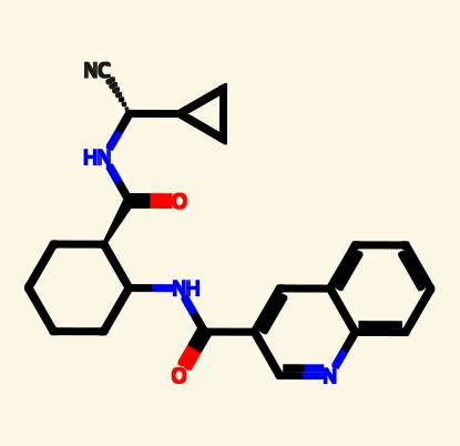 N#C[C@@H](NC(=O)[C@@H]1CCCCC1NC(=O)c1cnc2ccccc2c1)C1CC1